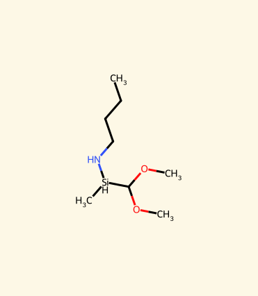 CCCCN[SiH](C)C(OC)OC